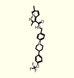 Cc1ccc2c(C(=O)NCc3ccc(N4CCC(c5ccc(OC(F)(F)F)cc5)CC4)cc3)c(C)nn2c1